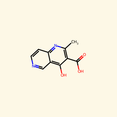 Cc1nc2ccncc2c(O)c1C(=O)O